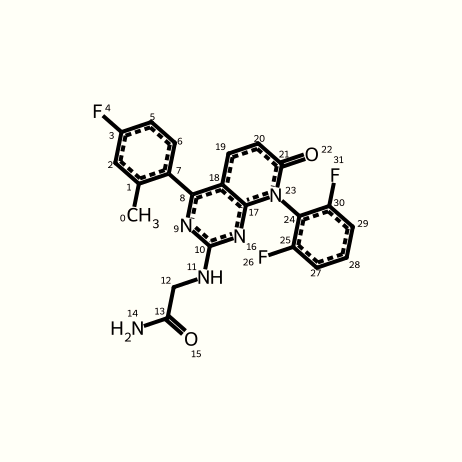 Cc1cc(F)ccc1-c1nc(NCC(N)=O)nc2c1ccc(=O)n2-c1c(F)cccc1F